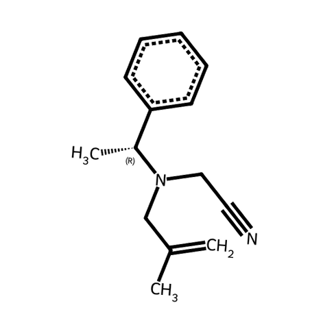 C=C(C)CN(CC#N)[C@H](C)c1ccccc1